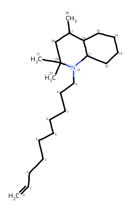 C=CCCCCCCCCN1C2CCCCC2C(C)CC1(C)C